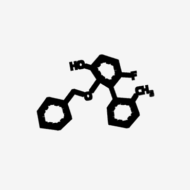 Cc1ccccc1-c1c(F)ccc(O)c1OCc1ccccc1